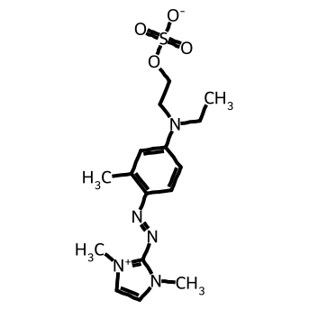 CCN(CCOS(=O)(=O)[O-])c1ccc(N=Nc2n(C)cc[n+]2C)c(C)c1